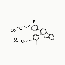 Fc1cc(-c2ccc3c(c2-c2ccc(CCCOCC4CO4)c(F)c2)Cc2ccccc2-3)ccc1CCCOCC1CO1